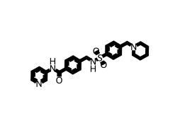 O=C(Nc1cccnc1)c1ccc(CNS(=O)(=O)c2ccc(CN3CCCCC3)cc2)cc1